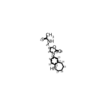 CC(=S)NC[C@H]1CN(c2ccc3c(c2)CCCCN3)C(=O)O1